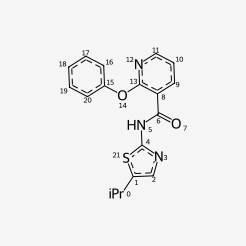 CC(C)c1cnc(NC(=O)c2cccnc2Oc2ccccc2)s1